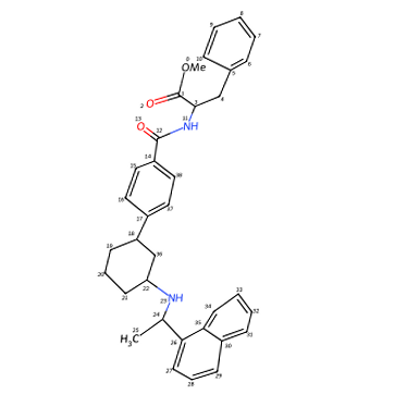 COC(=O)C(Cc1ccccc1)NC(=O)c1ccc(C2CCCC(NC(C)c3cccc4ccccc34)C2)cc1